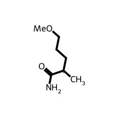 COCCC[C](C)C(N)=O